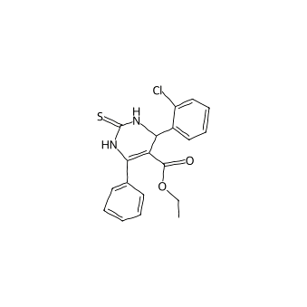 CCOC(=O)C1=C(c2ccccc2)NC(=S)NC1c1ccccc1Cl